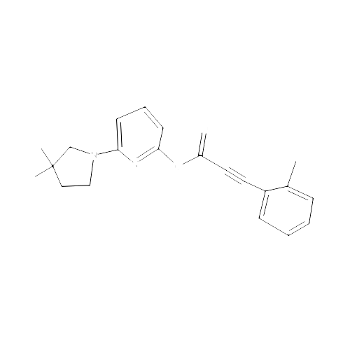 Cc1ccccc1C#CC(=O)Oc1cccc(N2CCC(F)(F)C2)n1